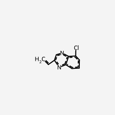 C=Cc1cnc2c(Cl)cccc2n1